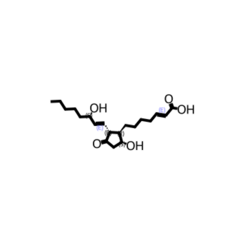 CCCCC[C@H](O)/C=C/[C@H]1C(=O)C[C@H](O)[C@@H]1CCCC/C=C/C(=O)O